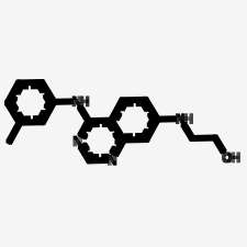 Cc1cccc(Nc2ncnc3cc(NCCO)ccc23)c1